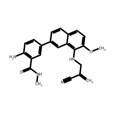 C=C(C#N)CNc1c(OC)ccc2ccc(-c3ccc(N)c(C(=O)NC)c3)cc12